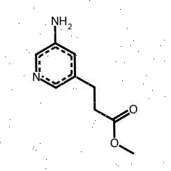 COC(=O)CCc1cncc(N)c1